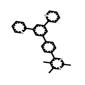 Cc1nc(C)c(C)c(-c2ccc(-c3cc(-c4ccccn4)cc(-c4ccccn4)c3)cc2)n1